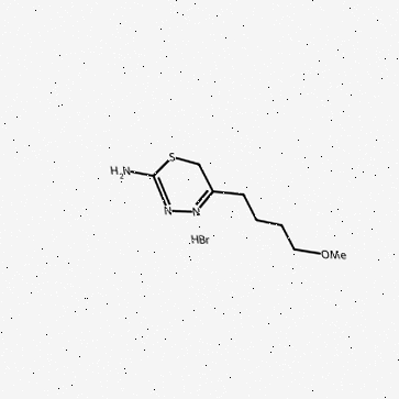 Br.COCCCCC1=NN=C(N)SC1